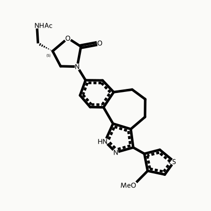 COc1cscc1-c1n[nH]c2c1CCCc1cc(N3C[C@H](CNC(C)=O)OC3=O)ccc1-2